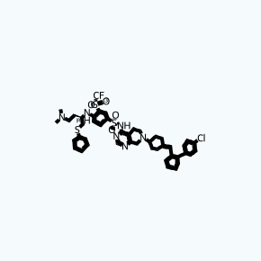 CN(C)CC[C@H](CSc1ccccc1)Nc1ccc(S(=O)(=O)Nc2ncnc3c2CCN(C2CCC(=Cc4ccccc4-c4ccc(Cl)cc4)CC2)C3)cc1S(=O)(=O)C(F)(F)F